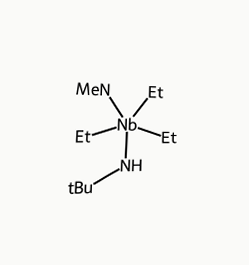 C[CH2][Nb]([CH2]C)([CH2]C)([NH]C)[NH]C(C)(C)C